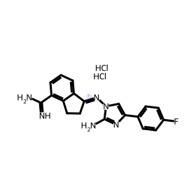 Cl.Cl.N=C(N)c1cccc2c1CC/C2=N\n1cc(-c2ccc(F)cc2)nc1N